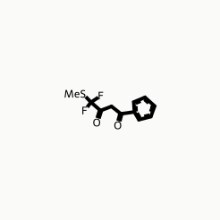 CSC(F)(F)C(=O)CC(=O)c1ccccc1